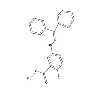 COC(=O)c1cc(NN=C(c2ccccc2)c2ccccc2)ncc1Cl